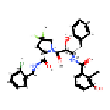 Cc1c(O)cccc1C(=O)N[C@@H](Cc1ccccc1)[C@H](O)C(=O)N1CC(F)(F)C[C@H]1C(=O)NCc1ccccc1Cl